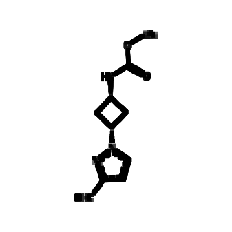 CC(C)(C)OC(=O)N[C@H]1C[C@H](n2ccc(C=O)n2)C1